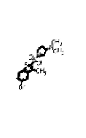 Cc1c(S(=O)(=O)N2CC[C@@H](N(C)C)C2)sc2ccc(Br)cc12